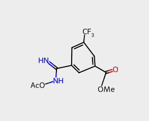 COC(=O)c1cc(C(=N)NOC(C)=O)cc(C(F)(F)F)c1